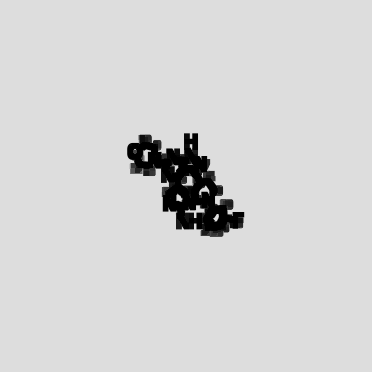 Nc1ncc(-c2nc(N3CCOCC3)nc3[nH]nc(C4CCN(c5[c]ccc(F)c5)CC4)c23)cn1